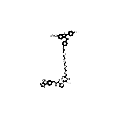 COc1ccc2c(C(=O)c3ccc(OCCOCCOCCOCCOCC(=O)NC(C(=O)N4CCC[C@H]4C(=O)NCc4ccc(-c5scnc5C)cc4)C(C)(C)C)cc3)c(-c3ccc(O)cc3)sc2c1